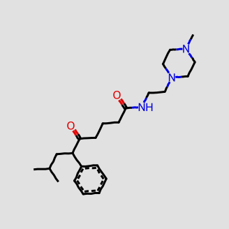 CC(C)CC(C(=O)CCCC(=O)NCCN1CCN(C)CC1)c1ccccc1